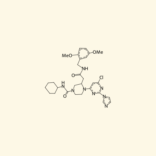 COc1ccc(OC)c(CNC(=O)CC2CN(C(=O)NC3CCCCC3)CCN2c2cc(Cl)nc(-n3ccnc3)n2)c1